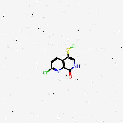 O=c1[nH]cc(SCl)c2ccc(Cl)nc12